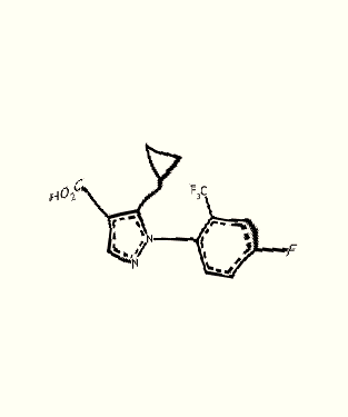 O=C(O)c1cnn(-c2ccc(F)cc2C(F)(F)F)c1C1CC1